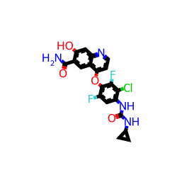 NC(=O)c1cc2c(Oc3c(F)cc(NC(=O)NC4CC4)c(Cl)c3F)ccnc2cc1O